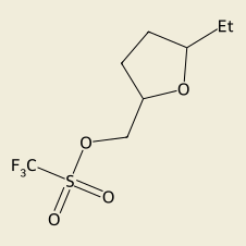 CCC1CCC(COS(=O)(=O)C(F)(F)F)O1